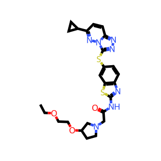 CCOCCOC1CCN(CC(=O)Nc2nc3ccc(Sc4nnc5ccc(C6CC6)nn45)cc3s2)C1